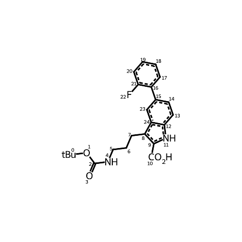 CC(C)(C)OC(=O)NCCCc1c(C(=O)O)[nH]c2ccc(-c3ccccc3F)cc12